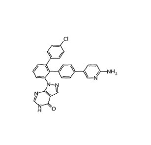 Nc1ccc(-c2ccc(-c3c(-c4ccc(Cl)cc4)cccc3-n3ncc4c(=O)[nH]cnc43)cc2)cn1